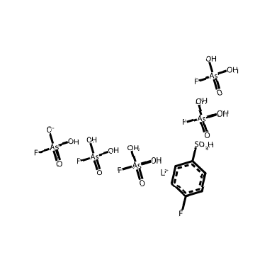 O=S(=O)(O)c1ccc(F)cc1.O=[As](O)(O)F.O=[As](O)(O)F.O=[As](O)(O)F.O=[As](O)(O)F.O=[As]([O-])(O)F.[Li+]